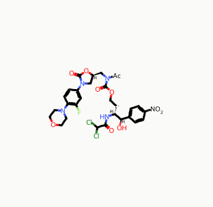 CC(=O)N(C[C@H]1CN(c2ccc(N3CCOCC3)c(F)c2)C(=O)O1)C(=O)OC[CH][C@@H](NC(=O)C(Cl)Cl)[C@H](O)c1ccc([N+](=O)[O-])cc1